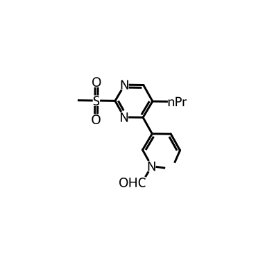 C/C=C\C(=C/N(C)C=O)c1nc(S(C)(=O)=O)ncc1CCC